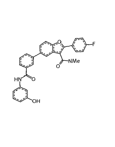 CNC(=O)c1c(-c2ccc(F)cc2)oc2ccc(-c3cccc(C(=O)Nc4cccc(O)c4)c3)cc12